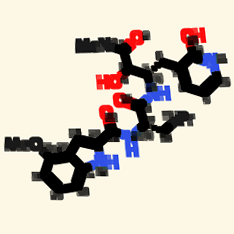 CNC(=O)C(O)[C@H](Cc1cccnc1O)NC(=O)[C@H](CC(C)C)NC(=O)c1cc2c(OC)cccc2[nH]1